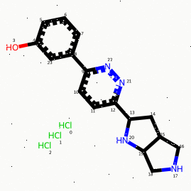 Cl.Cl.Cl.Oc1cccc(-c2ccc(C3CC4CNCC4N3)nn2)c1